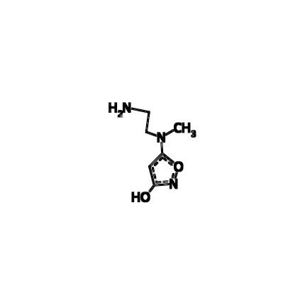 CN(CCN)c1cc(O)no1